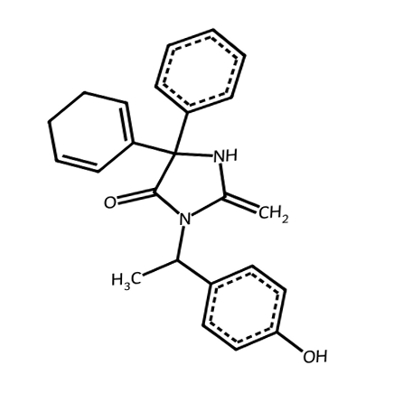 C=C1NC(C2=CCCC=C2)(c2ccccc2)C(=O)N1C(C)c1ccc(O)cc1